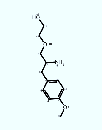 COc1ccc(CC(N)COCCO)cc1